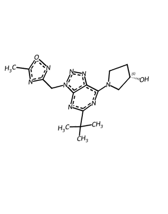 Cc1nc(Cn2nnc3c(N4CC[C@H](O)C4)nc(C(C)(C)C)nc32)no1